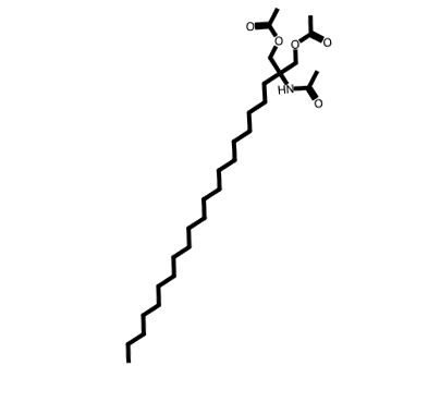 CCCCCCCCCCCCCCCCCCCCC(COC(C)=O)(COC(C)=O)NC(C)=O